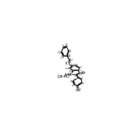 O=C[SH]1C(c2ccc(Br)cc2)=C(Br)c2ccc(OCc3ccccc3)cc21